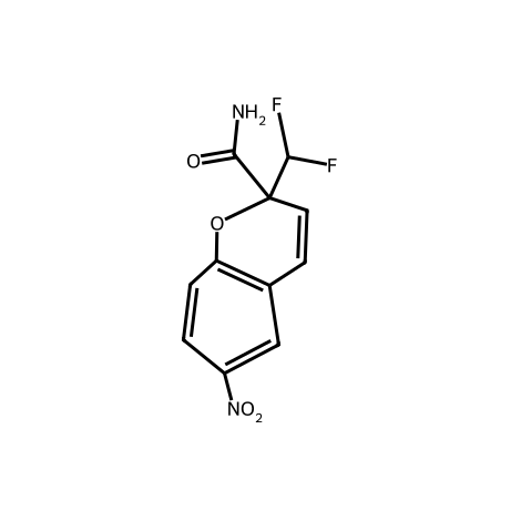 NC(=O)C1(C(F)F)C=Cc2cc([N+](=O)[O-])ccc2O1